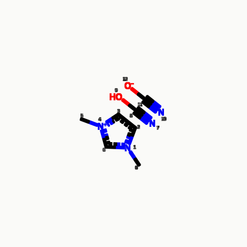 Cn1cc[n+](C)c1.N#CO.N#C[O-]